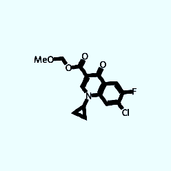 COCOC(=O)c1cn(C2CC2)c2cc(Cl)c(F)cc2c1=O